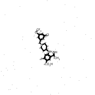 CC(=N)c1cc(C(=O)O)c(F)cc1NC1CCN(Cc2cc(Cl)cc(OC(F)(F)F)c2)CC1